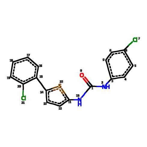 O=C(Nc1ccc(Cl)cc1)Nc1ccc(-c2ccccc2Cl)s1